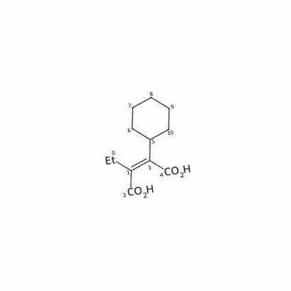 CC/C(C(=O)O)=C(/C(=O)O)C1CCCCC1